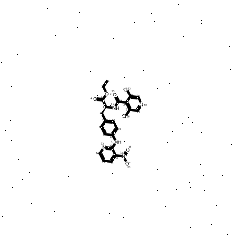 CCOC(=O)[C@H](Cc1ccc(Nc2ncccc2[N+](=O)[O-])cc1)NC(=O)c1c(Cl)cncc1Cl